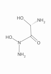 N[C@@H](O)C(=O)N(N)O